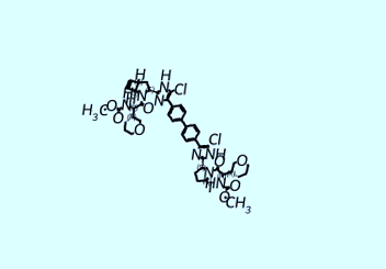 COC(=O)N[C@@H](C(=O)N1[C@H](I)CC[C@H]1c1nc(-c2ccc(-c3ccc(-c4nc([C@@H]5C[C@H]6C#C[C@H]6N5C(=O)[C@H](NC(=O)OC)[C@H]5CCCOC5)[nH]c4Cl)cc3)cc2)c(Cl)[nH]1)[C@H]1CCCOC1